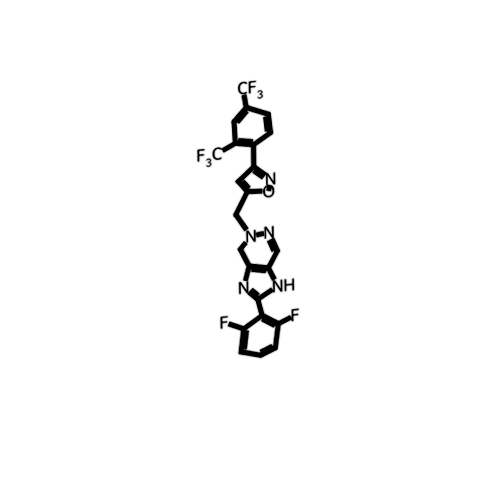 Fc1cccc(F)c1-c1nc2c([nH]1)C=NN(Cc1cc(-c3ccc(C(F)(F)F)cc3C(F)(F)F)no1)C2